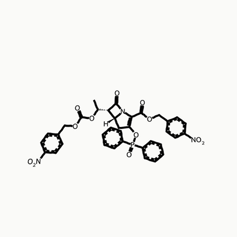 CC(OC(=O)OCc1ccc([N+](=O)[O-])cc1)[C@@H]1C(=O)N2C(C(=O)OCc3ccc([N+](=O)[O-])cc3)=C(OP(=O)(c3ccccc3)c3ccccc3)C[C@H]12